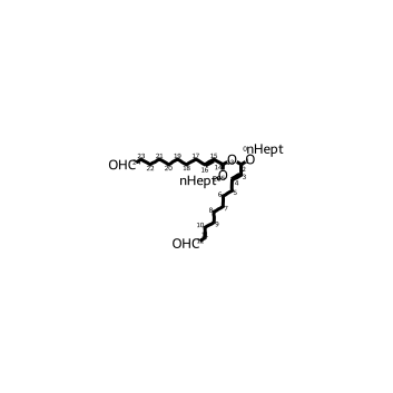 CCCCCCCOC(C=CCCCCCCCC=O)OC(C=CCCCCCCCC=O)OCCCCCCC